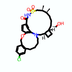 C[C@@H]1CS(=O)(=O)NC(=O)c2ccc3c(c2)N(CCCCc2cc(Cl)ccc2CO3)C[C@@H]2CC[C@H]2[C@@H](CO)CC[C@@H]1C